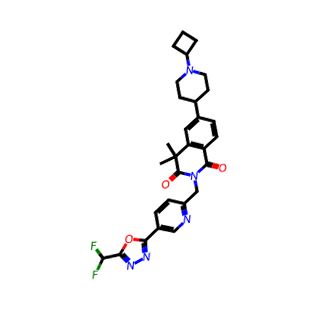 CC1(C)C(=O)N(Cc2ccc(-c3nnc(C(F)F)o3)cn2)C(=O)c2ccc(C3CCN(C4CCC4)CC3)cc21